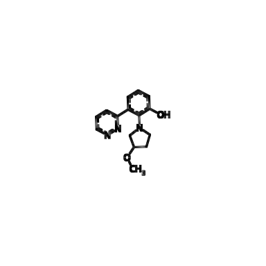 COC1CCN(c2c(O)cccc2-c2cccnn2)C1